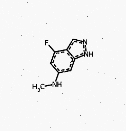 CNc1cc(F)c2cn[nH]c2c1